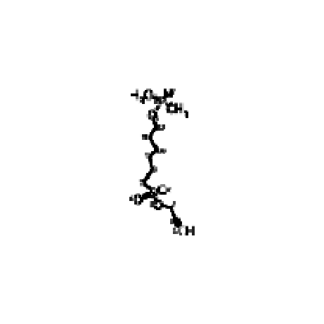 C#CCOS(=O)(=O)CCCCCCOP(C)(C)=O